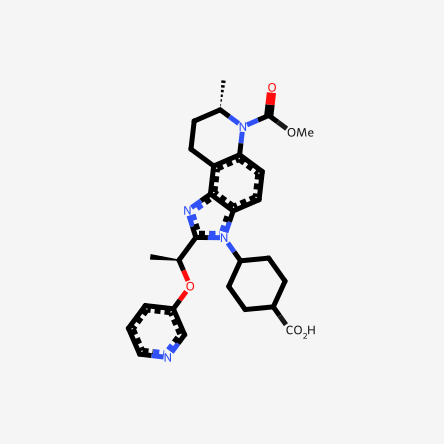 COC(=O)N1c2ccc3c(nc([C@H](C)Oc4cccnc4)n3C3CCC(C(=O)O)CC3)c2CC[C@@H]1C